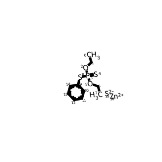 CCOP(=S)(OCC)Sc1ccccc1.[S-2].[Zn+2]